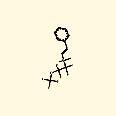 C[Si](C)(C=Cc1ccccc1)C(F)(F)C(F)(F)OC(F)(F)F